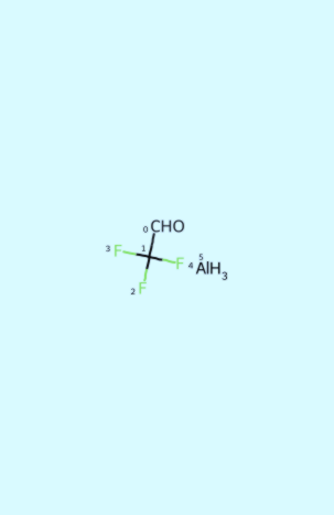 O=CC(F)(F)F.[AlH3]